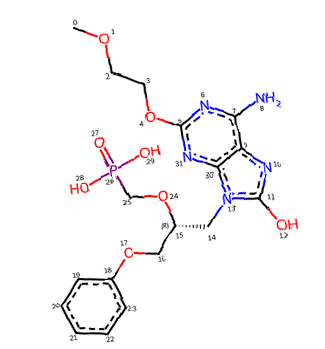 COCCOc1nc(N)c2nc(O)n(C[C@H](COc3ccccc3)OCP(=O)(O)O)c2n1